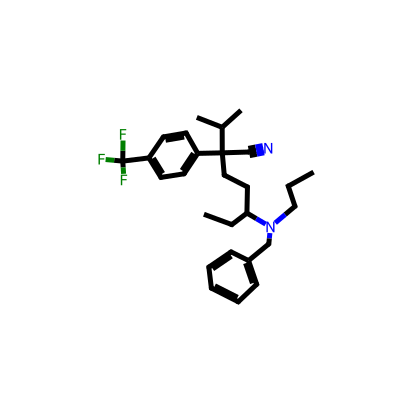 CCCN(Cc1ccccc1)C(CC)CCC(C#N)(c1ccc(C(F)(F)F)cc1)C(C)C